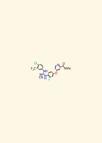 CNC(=O)c1cc(Oc2ccc(N/C(=N\C#N)Nc3ccc(Cl)c(C(F)(F)F)c3)c(F)c2)ccn1